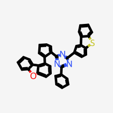 c1ccc(-c2nc(-c3ccc4sc5ccccc5c4c3)nc(-c3ccccc3-c3cccc4oc5ccccc5c34)n2)cc1